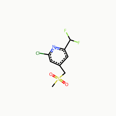 CS(=O)(=O)Cc1cc(Cl)nc(C(F)F)c1